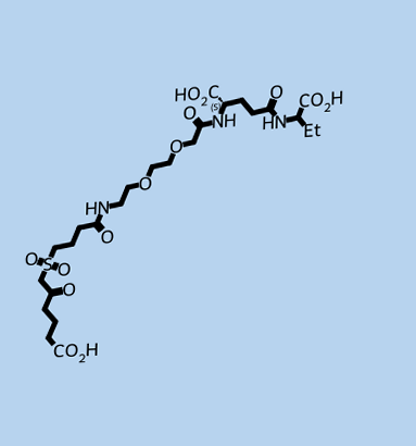 CCC(NC(=O)CC[C@H](NC(=O)COCCOCCNC(=O)CCCS(=O)(=O)CC(=O)CCCC(=O)O)C(=O)O)C(=O)O